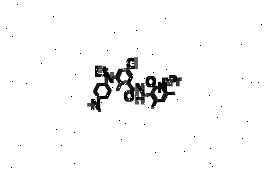 CCCn1c(C)cc(C)c(CNC(=O)c2cc(Cl)cc(N(CC)C3CCC(N(C)C)CC3)c2C)c1=O